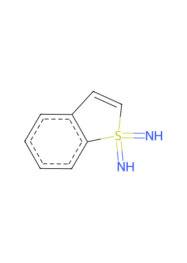 N=S1(=N)C=Cc2ccccc21